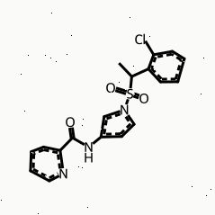 CC(c1ccccc1Cl)S(=O)(=O)n1ccc(NC(=O)c2ccccn2)c1